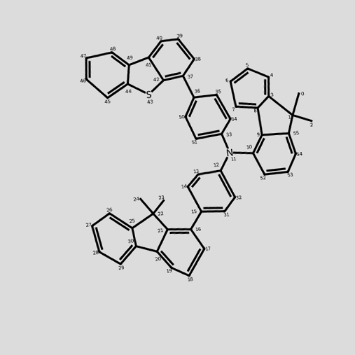 CC1(C)c2ccccc2-c2c(N(c3ccc(-c4cccc5c4C(C)(C)c4ccccc4-5)cc3)c3ccc(-c4cccc5c4sc4ccccc45)cc3)cccc21